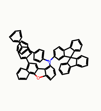 c1ccc(-c2ccc(-c3cc4c(oc5cccc(N(c6ccc(-c7ccccc7)cc6)c6ccc7c(c6)C6(c8ccccc8-c8ccccc86)c6ccccc6-7)c54)c4ccccc34)cc2)cc1